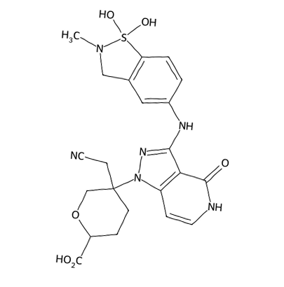 CN1Cc2cc(Nc3nn(C4(CC#N)CCC(C(=O)O)OC4)c4cc[nH]c(=O)c34)ccc2S1(O)O